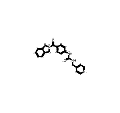 O=C(NCc1ccncc1)Nc1ccc(C(=O)N2Cc3ccccc3C2)cc1